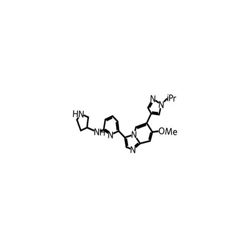 COc1cc2ncc(-c3cccc(NC4CCNC4)n3)n2cc1-c1cnn(C(C)C)c1